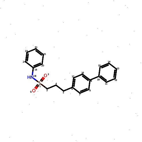 O=S(=O)(CCCc1ccc(-c2ccccc2)cc1)Nc1ccccc1